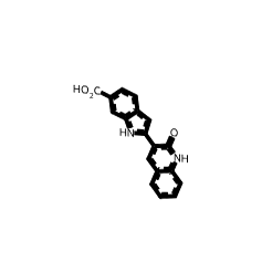 O=C(O)c1ccc2cc(-c3cc4ccccc4[nH]c3=O)[nH]c2c1